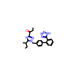 CCC(=O)c1nc(C(C)CC)n(Cc2ccc(-c3ccccc3-c3nnn[nH]3)cc2)n1